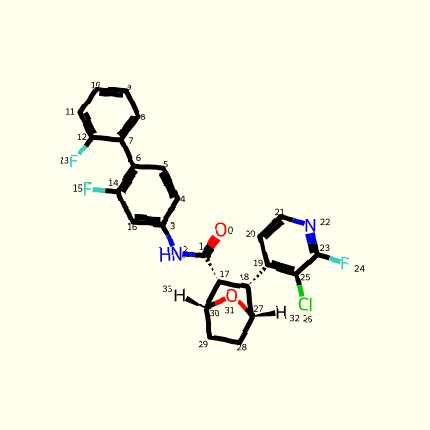 O=C(Nc1ccc(-c2ccccc2F)c(F)c1)[C@@H]1[C@H](c2ccnc(F)c2Cl)[C@@H]2CC[C@H]1O2